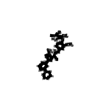 Cc1cc(CNC(=O)c2cc(-c3cccc(N4CCCCC4)c3)nn2C)ccc1OC(C)(C)C(=O)O